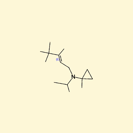 C/C(=C\CN(C(C)C)C1(C)CC1)C(C)(C)C